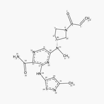 C=CC(=O)N1CC[C@@H](N(C)c2cnc(C(N)=O)c(Nc3cc(C)ns3)n2)C1